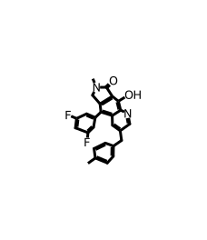 Cc1ccc(Cc2cnc3c(O)c4c(c(-c5cc(F)cc(F)c5)c3c2)CN(C)C4=O)cc1